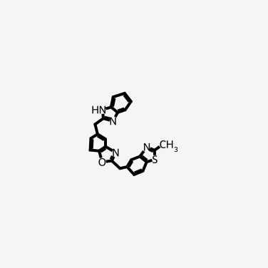 Cc1nc2cc(Cc3nc4cc(Cc5nc6ccccc6[nH]5)ccc4o3)ccc2s1